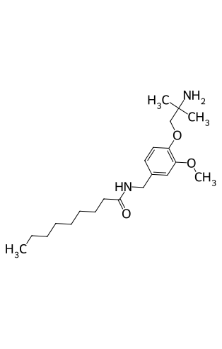 CCCCCCCCC(=O)NCc1ccc(OCC(C)(C)N)c(OC)c1